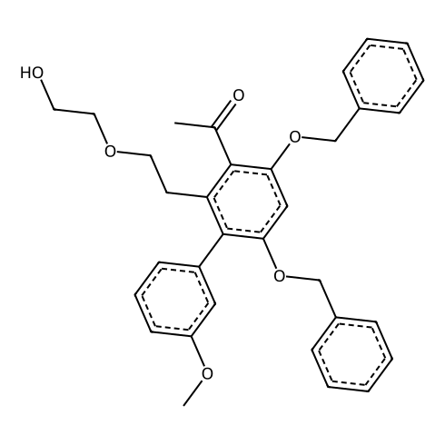 COc1cccc(-c2c(OCc3ccccc3)cc(OCc3ccccc3)c(C(C)=O)c2CCOCCO)c1